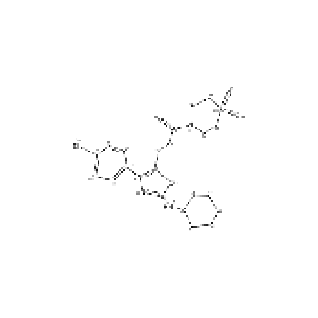 O=C(CCc1oc(NC2CCCCC2)nc1-c1ccc(Cl)cc1)N1CCS(=O)(=O)CC1